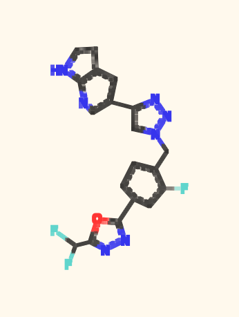 Fc1cc(-c2nnc(C(F)F)o2)ccc1Cn1cc(-c2cnc3[nH]ccc3c2)nn1